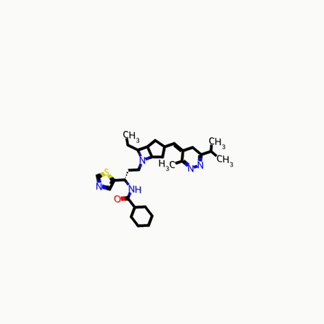 CCC1C2CC(/C=C3/CC(C(C)C)=NN=C3C)CC2N1CC[C@H](NC(=O)C1CCCCC1)c1cncs1